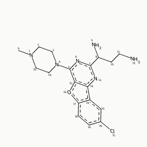 CN1CCN(c2nc(C(N)CCN)nc3c2oc2ccc(Cl)cc23)CC1